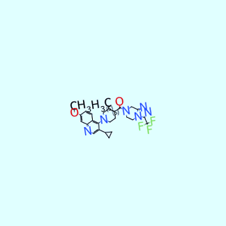 COc1ccc2c(N3CC[C@H](C(=O)N4CCn5c(nnc5C(F)(F)F)C4)[C@H](C)C3)c(C3CC3)cnc2c1